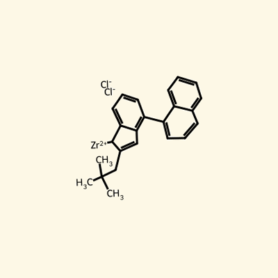 CC(C)(C)CC1=Cc2c(-c3cccc4ccccc34)cccc2[CH]1[Zr+2].[Cl-].[Cl-]